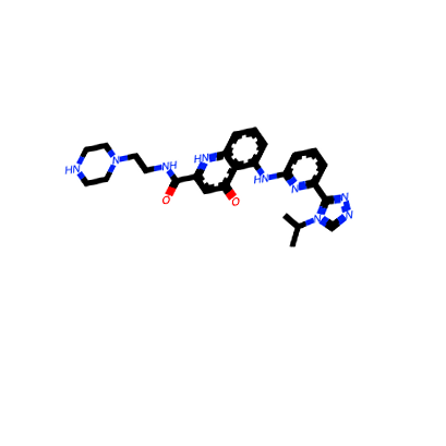 CC(C)n1cnnc1-c1cccc(Nc2cccc3[nH]c(C(=O)NCCN4CCNCC4)cc(=O)c23)n1